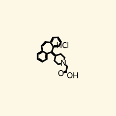 Cl.O=C(O)CN1CCC(=C2c3ccccc3C=Cc3ccccc32)CC1